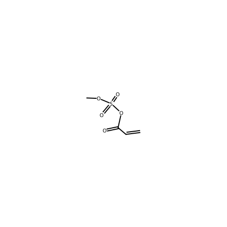 C=CC(=O)OS(=O)(=O)OC